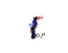 Cc1c(Nc2nccc3cc(CN4CCC(O)C4)cnc23)cccc1-c1cccc(-c2nc3c(o2)CN(C(=O)CN2CCCCC2C(=O)O)C3)c1C